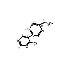 [CH2][C@@H](C)Cc1ccc(-c2ccccc2Cl)nc1